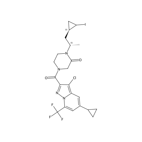 C[C@@H](C[C@H]1CC1I)N1CCN(C(=O)c2nn3c(C(F)(F)F)cc(C4CC4)cc3c2Cl)CC1=O